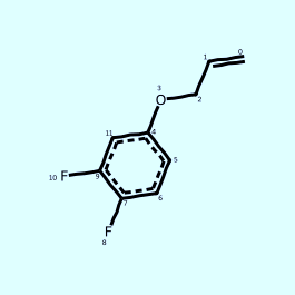 C=CCOc1[c]cc(F)c(F)c1